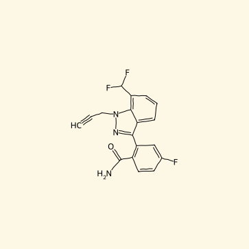 C#CCn1nc(-c2cc(F)ccc2C(N)=O)c2cccc(C(F)F)c21